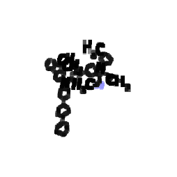 C=Cc1c(/C=C\C)c2cc(-c3ccc(N(c4ccc(-c5ccc(-c6ccccc6)cc5)cc4)c4ccc5c(c4)C(C)(C)c4ccccc4-5)cc3)ccc2n1-c1cccc(C)c1